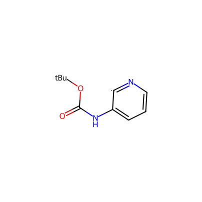 CC(C)(C)OC(=O)Nc1[c]nccc1